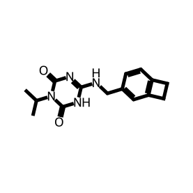 CC(C)n1c(=O)nc(NCc2ccc3c(c2)CC3)[nH]c1=O